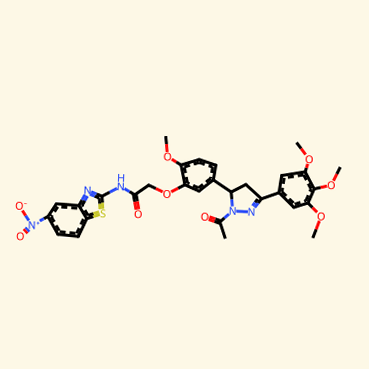 COc1ccc(C2CC(c3cc(OC)c(OC)c(OC)c3)=NN2C(C)=O)cc1OCC(=O)Nc1nc2cc([N+](=O)[O-])ccc2s1